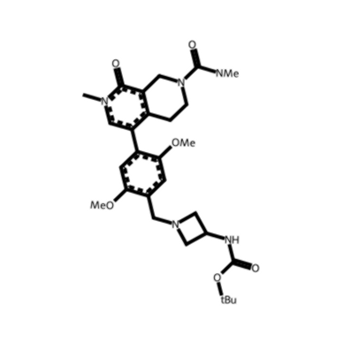 CNC(=O)N1CCc2c(-c3cc(OC)c(CN4CC(NC(=O)OC(C)(C)C)C4)cc3OC)cn(C)c(=O)c2C1